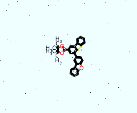 CC1(C)OB(c2cc(-c3ccc4oc5ccccc5c4c3)c3sc4ccccc4c3c2)OC1(C)C